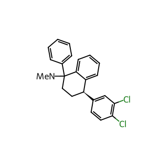 CNC1(c2ccccc2)CC[C@H](c2ccc(Cl)c(Cl)c2)c2ccccc21